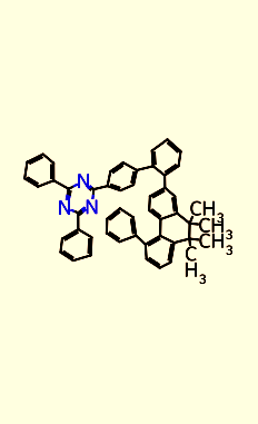 CC1(C)c2cc(-c3ccccc3-c3ccc(-c4nc(-c5ccccc5)nc(-c5ccccc5)n4)cc3)ccc2-c2c(-c3ccccc3)cccc2C1(C)C